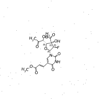 COC(=O)C=Cc1cn([C@@H]2O[C@H](C(O)C(C)=O)[C@](O)(C(C)=O)[C@H]2F)c(=O)[nH]c1=O